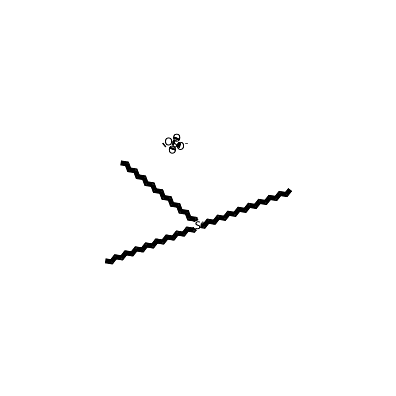 CCCCCCCCCCCCCCCCCC[S+](CCCCCCCCCCCCCCCCCC)CCCCCCCCCCCCCCCCCC.COS(=O)(=O)[O-]